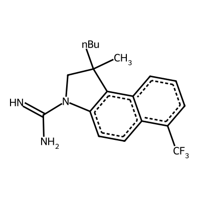 CCCCC1(C)CN(C(=N)N)c2ccc3c(C(F)(F)F)cccc3c21